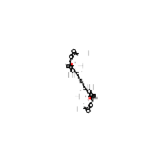 CC1(C)c2cc(C(=O)NCCSSCCNC(=O)c3ccc4c(c3)C(C)(C)C3(/C=C/c5ccc(N6CCCC6C(=O)O)cc5)OCCN43)ccc2N2CCOC21/C=C/c1ccc(N2CCCC2C(=O)O)cc1